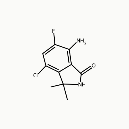 CC1(C)NC(=O)c2c(N)c(F)cc(Cl)c21